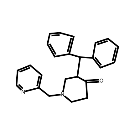 O=C1CCN(Cc2ccccn2)CC1C(c1ccccc1)c1ccccc1